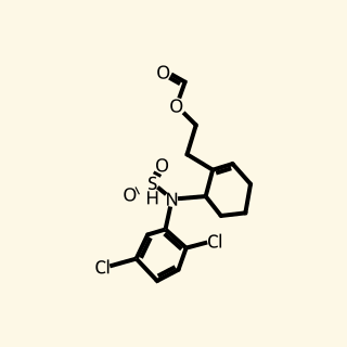 O=COCCC1=CCCCC1N(c1cc(Cl)ccc1Cl)[SH](=O)=O